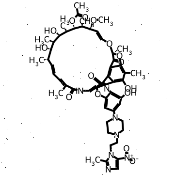 CO[C@H]1/C=C/O[C@@]2(C)Oc3c(C)c(O)c4c(=O)c(c5oc6cc(N7CCN(CCn8c([N+](=O)[O-])cnc8C)CC7)cc(O)c6nc-5c4c3C2=O)NC(=O)/C(C)=C\C=C\[C@H](C)[C@H](O)[C@@H](C)[C@@H](O)[C@@H](C)[C@H](OC(C)=O)[C@@H]1C